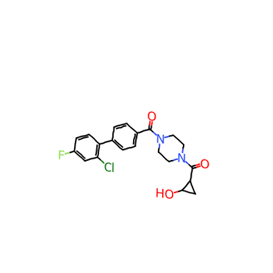 O=C(c1ccc(-c2ccc(F)cc2Cl)cc1)N1CCN(C(=O)C2CC2O)CC1